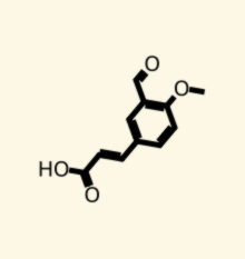 COc1ccc(/C=C/C(=O)O)cc1C=O